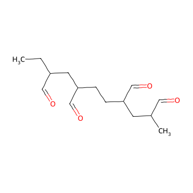 CCC(C=O)CC(C=O)CCC(C=O)CC(C)C=O